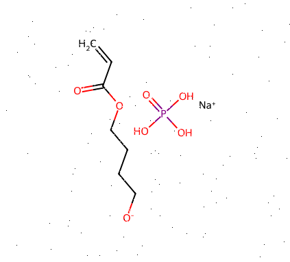 C=CC(=O)OCCCC[O-].O=P(O)(O)O.[Na+]